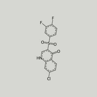 O=c1c(S(=O)(=O)c2ccc(F)c(F)c2)c[nH]c2cc(Cl)ccc12